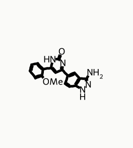 COc1ccccc1-c1cc(-c2ccc3[nH]nc(N)c3c2)nc(=O)[nH]1